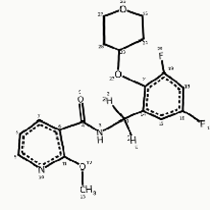 [2H]C([2H])(NC(=O)c1cccnc1OC)c1cc(F)cc(F)c1OC1CCOCC1